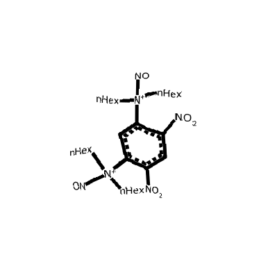 CCCCCC[N+](CCCCCC)(N=O)c1cc([N+](CCCCCC)(CCCCCC)N=O)c([N+](=O)[O-])cc1[N+](=O)[O-]